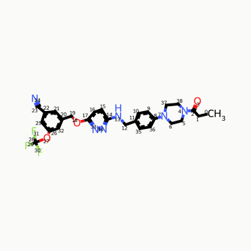 CCC(=O)N1CCN(c2ccc(CNc3ccc(OCc4cc(C#N)cc(OC(F)(F)F)c4)nn3)cc2)CC1